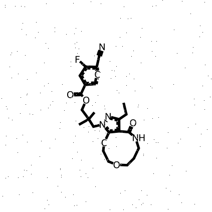 CCc1nn(CC(C)(C)COC(=O)c2ccc(C#N)c(F)c2)c2c1C(=O)NCCCOCCC2